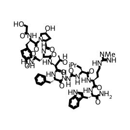 CNC(=N)NCCC[C@H](NC(=O)[C@H](CC(C)C)NC(=O)NNC(=O)[C@H](Cc1ccccc1)NC(=O)[C@@H](NC(=O)[C@H](CC(N)=O)NC(=O)[C@@H]1C[C@@H](O)CN1C(=O)[C@@H](Cc1ccc(O)cc1)NC(=O)CO)[C@@H](C)O)C(=O)N[C@@H](Cc1c[nH]c2ccccc12)C(N)=O